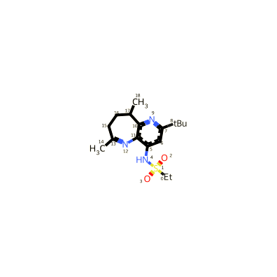 CCS(=O)(=O)Nc1cc(C(C)(C)C)nc2c1N=C(C)CCC2C